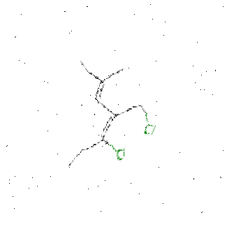 CC/C(Cl)=C(\C=C(C)C)CCl